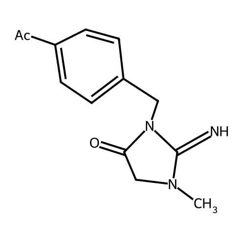 CC(=O)c1ccc(CN2C(=N)N(C)CC2=O)cc1